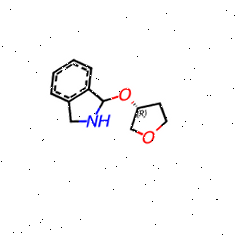 c1ccc2c(c1)CNC2O[C@@H]1CCOC1